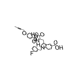 CC#CCOc1ccc(S(=O)(=O)NC(Cc2cn(Cc3cccc(F)c3)c3ccc(C(=O)O)cc23)C(=O)O)cc1